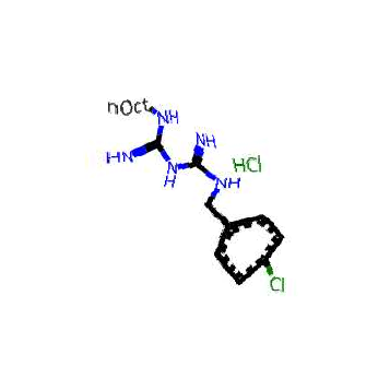 CCCCCCCCNC(=N)NC(=N)NCc1ccc(Cl)cc1.Cl